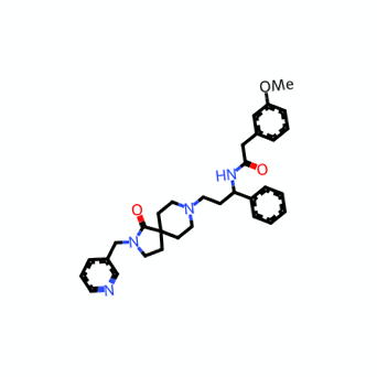 COc1cccc(CC(=O)NC(CCN2CCC3(CC2)CCN(Cc2cccnc2)C3=O)c2ccccc2)c1